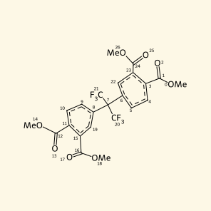 COC(=O)c1ccc(C(c2ccc(C(=O)OC)c(C(=O)OC)c2)(C(F)(F)F)C(F)(F)F)cc1C(=O)OC